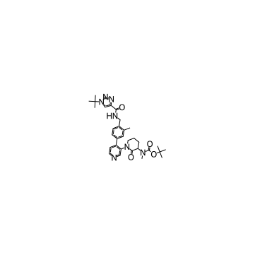 Cc1cc(-c2ccncc2N2CCCC(N(C)C(=O)OC(C)(C)C)C2=O)ccc1CNC(=O)c1cn(C(C)(C)C)nn1